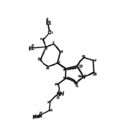 CCOCC1(CC)CCC(c2c(CNCCNC)nn3c2CCC3)CC1